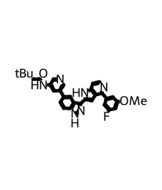 COc1cc(F)cc(-c2nccc3[nH]c(-c4n[nH]c5ccc(-c6cncc(NC(=O)CC(C)(C)C)c6)cc45)cc23)c1